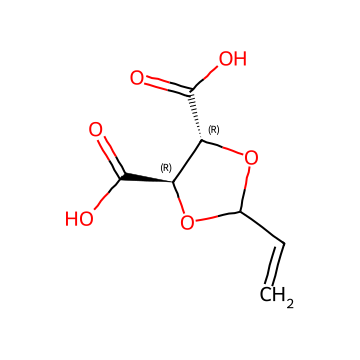 C=CC1O[C@@H](C(=O)O)[C@H](C(=O)O)O1